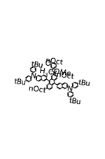 CCCCCCCCOc1cccc([Si](C)(OC)c2cc3c(-c4ccc5cc(N(c6ccc(C(C)(C)C)cc6)c6ccc(C(C)(C)C)cc6)ccc5c4)c4cc(CCCCCCCC)ccc4c(-c4ccc5cc(N(c6ccc(C(C)(C)C)cc6)c6ccc(C(C)(C)C)cc6)ccc5c4)c3cc2CCCCCCCC)c1